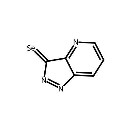 [Se]=C1N=Nc2cccnc21